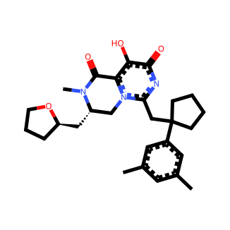 Cc1cc(C)cc(C2(Cc3nc(=O)c(O)c4n3C[C@H](C[C@H]3CCCO3)N(C)C4=O)CCCC2)c1